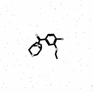 CCOc1cc(C(=O)N2C3CCC2COC3)ccc1Br